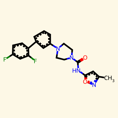 Cc1cc(NC(=O)N2CCN(c3cccc(-c4ccc(F)cc4F)c3)CC2)on1